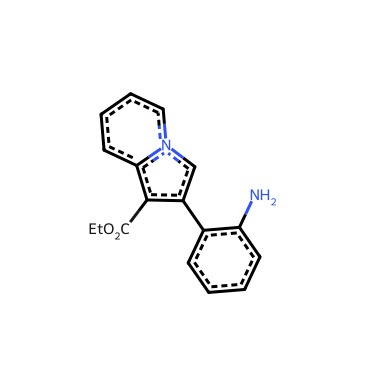 CCOC(=O)c1c(-c2ccccc2N)cn2ccccc12